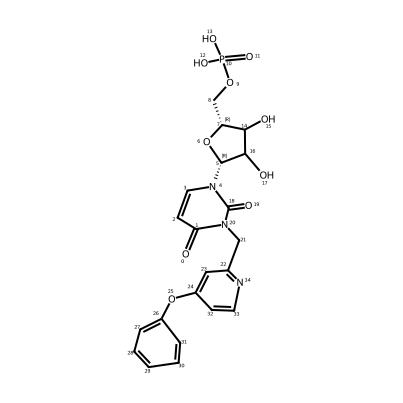 O=c1ccn([C@@H]2O[C@H](COP(=O)(O)O)C(O)C2O)c(=O)n1Cc1cc(Oc2ccccc2)ccn1